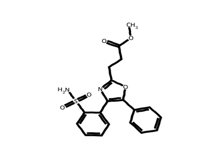 COC(=O)CCc1nc(-c2ccccc2S(N)(=O)=O)c(-c2ccccc2)o1